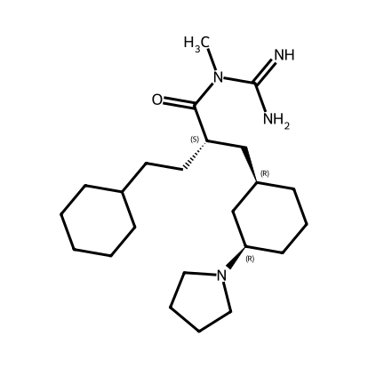 CN(C(=N)N)C(=O)[C@@H](CCC1CCCCC1)C[C@H]1CCC[C@@H](N2CCCC2)C1